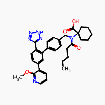 CCCCC(=O)N(Cc1ccc(-c2cc(-c3cccnc3OC)ccc2-c2nn[nH]n2)cc1)C1(C(=O)O)CCCCC1